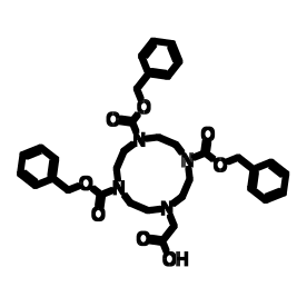 O=C(O)CN1CCN(C(=O)OCc2ccccc2)CCN(C(=O)OCc2ccccc2)CCN(C(=O)OCc2ccccc2)CC1